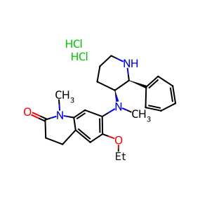 CCOc1cc2c(cc1N(C)[C@H]1CCCN[C@H]1c1ccccc1)N(C)C(=O)CC2.Cl.Cl